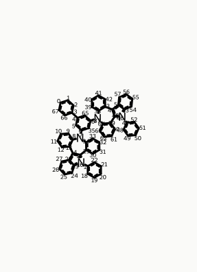 c1ccc(-c2cc(N3c4ccccc4-c4c(n(-c5ccccc5)c5ccccc45)-c4ccccc43)cc(N3c4ccccc4-c4c(n(-c5ccccc5)c5ccccc45)-c4ccccc43)c2)cc1